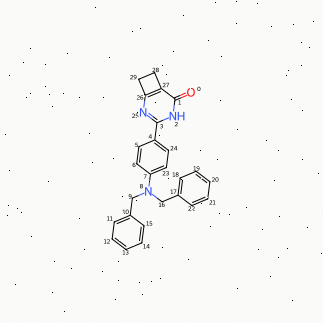 O=c1[nH]c(-c2ccc(N(Cc3ccccc3)Cc3ccccc3)cc2)nc2c1CC2